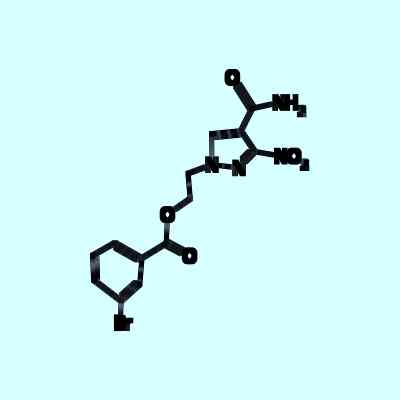 NC(=O)c1cn(CCOC(=O)c2cccc(Br)c2)nc1[N+](=O)[O-]